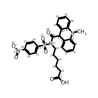 CN1c2ccccc2C(C(=O)N(CCCCCC(=O)O)S(=O)(=O)c2ccc([N+](=O)[O-])cc2)c2ccccc21